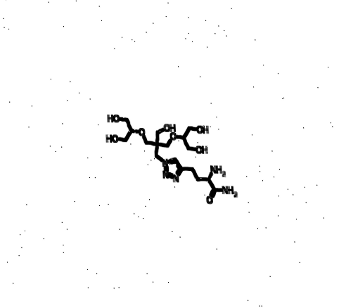 NC(=O)[C@H](N)CCc1cn(CC(CO)(COC(CO)CO)COC(CO)CO)nn1